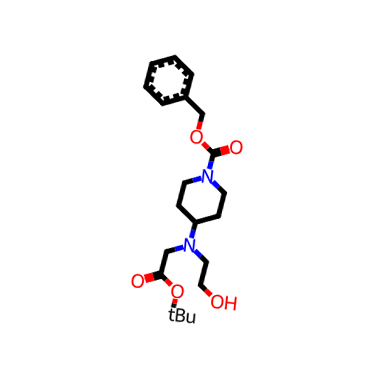 CC(C)(C)OC(=O)CN(CCO)C1CCN(C(=O)OCc2ccccc2)CC1